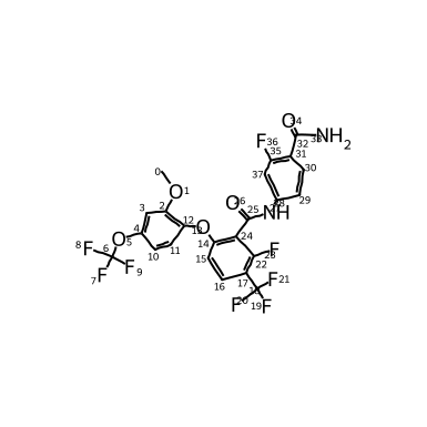 COc1cc(OC(F)(F)F)ccc1Oc1ccc(C(F)(F)F)c(F)c1C(=O)Nc1ccc(C(N)=O)c(F)c1